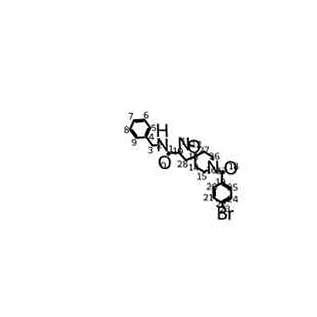 O=C(NCc1ccccc1)C1=NOC2(CCN(C(=O)c3ccc(Br)cc3)CC2)C1